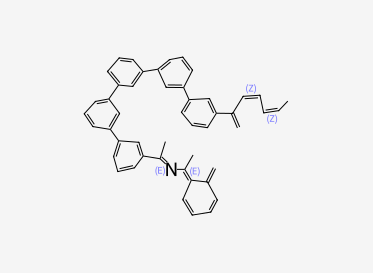 C=C(/C=C\C=C/C)c1cccc(-c2cccc(-c3cccc(-c4cccc(-c5cccc(/C(C)=N/C(C)=c6\ccccc6=C)c5)c4)c3)c2)c1